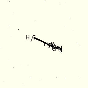 CCCCCCCCCCCCCCCCCCOCC(COC(=O)c1ccc(CN2C=CSC2)cc1)OC